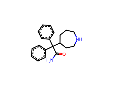 NC(=O)C(c1ccccc1)(c1ccccc1)C1CCCNCC1